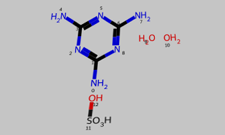 Nc1nc(N)nc(N)n1.O.O.O=S(=O)(O)O